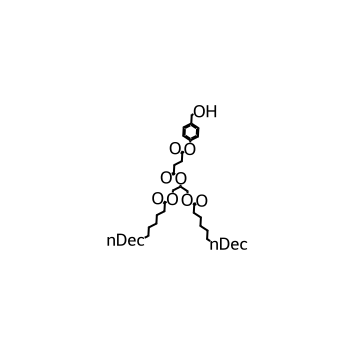 CCCCCCCCCCCCCCCC(=O)OCC(COC(=O)CCCCCCCCCCCCCCC)OC(=O)CCC(=O)Oc1ccc(CO)cc1